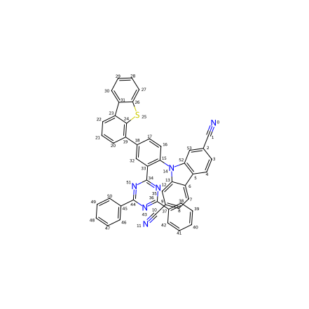 N#Cc1ccc2c3ccc(C#N)cc3n(-c3ccc(-c4cccc5c4sc4ccccc45)cc3-c3nc(-c4ccccc4)nc(-c4ccccc4)n3)c2c1